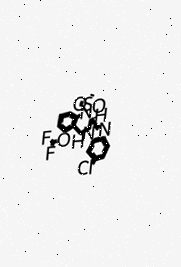 CS(=O)(=O)N1c2cccc(OC(F)F)c2[C@H]2C[C@@H]1c1nc3ccc(Cl)cc3n12